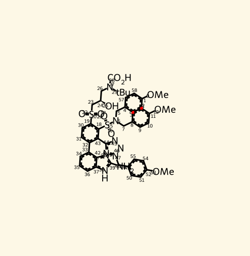 COc1ccc(CN(Cc2ccc(OC)cc2)S(=O)(=O)c2c(S(=O)(=O)C[C@H](O)CN(C(=O)O)C(C)(C)C)ccc(-c3cccc4[nH]c(N)nc34)c2-c2nnn(Cc3ccc(OC)cc3)n2)cc1